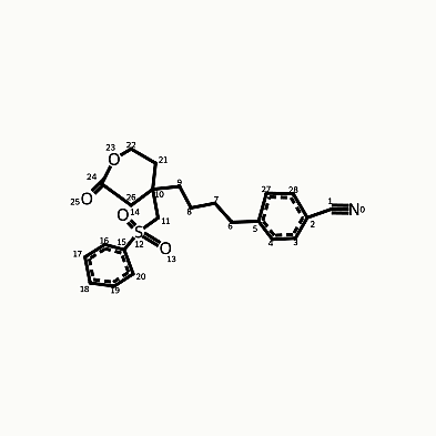 N#Cc1ccc(CCCCC2(CS(=O)(=O)c3ccccc3)CCOC(=O)C2)cc1